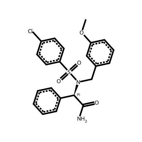 COc1cccc(CN([C@@H](C(N)=O)c2ccccc2)S(=O)(=O)c2ccc(Cl)cc2)c1